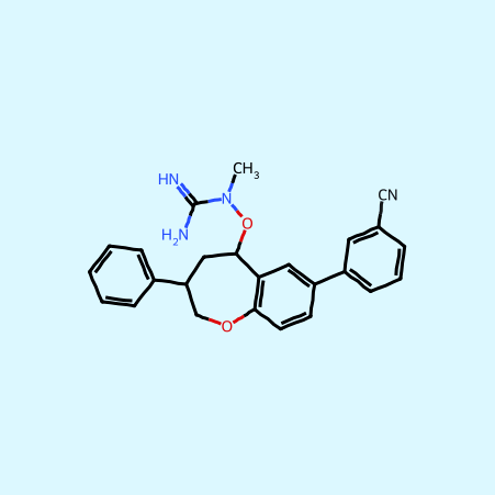 CN(OC1CC(c2ccccc2)COc2ccc(-c3cccc(C#N)c3)cc21)C(=N)N